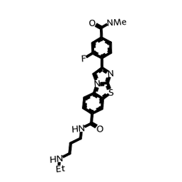 CCNCCCNC(=O)c1ccc2c(c1)sc1nc(-c3ccc(C(=O)NC)cc3F)cn12